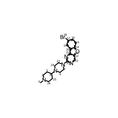 CN1CCC(N2CCN(c3ncc4oc5ccc(Br)cc5c4n3)CC2)CC1